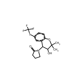 CC1(C)Oc2ccc(SC(F)(F)F)cc2C(N2CCCC2=O)C1O